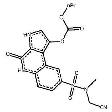 CCCOC(=O)Oc1c[nH]c2c(=O)[nH]c3ccc(S(=O)(=O)N(C)CC#N)cc3c12